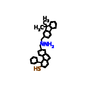 CC1(C)c2ccccc2-c2ccc(CN(N)Cc3ccc4c(ccc5ccc(S)c(-c6ccccc6)c54)c3)cc21